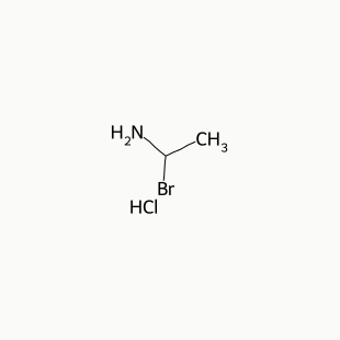 CC(N)Br.Cl